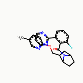 Cc1ccc(OCC2CC3CCC2N3C(=O)c2c(F)cccc2-c2ncccn2)nc1